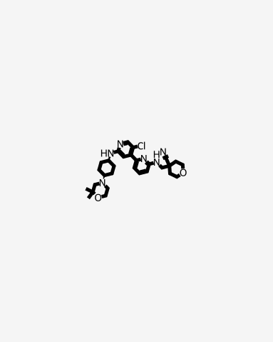 CC1(C)CN([C@H]2CC[C@H](Nc3cc(-c4cccc(NCC5(C#N)CCOCC5)n4)c(Cl)cn3)CC2)CCO1